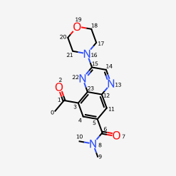 CC(=O)c1cc(C(=O)N(C)C)cc2ncc(N3CCOCC3)nc12